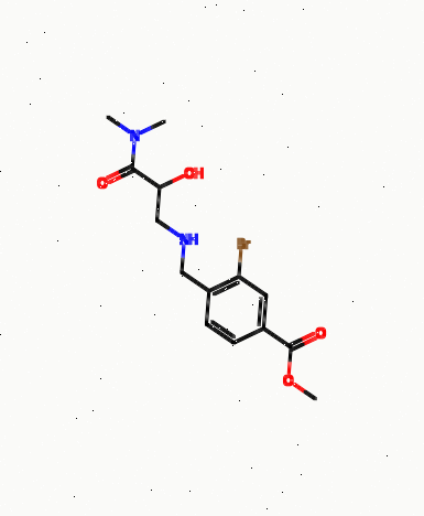 COC(=O)c1ccc(CNCC(O)C(=O)N(C)C)c(Br)c1